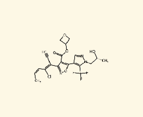 C#C/C(=C(Cl)\C=C/C)c1noc(-c2cnn(C[C@@H](C)O)c2C(F)(F)F)c1C(=O)OC1COC1